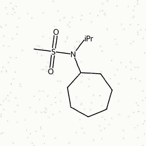 CC(C)N(C1CCCCCC1)S(C)(=O)=O